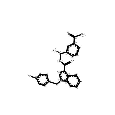 C[C@H](NC(=O)c1nn(Cc2ccc(F)cc2)c2ccccc12)c1cccc(C(N)=O)c1